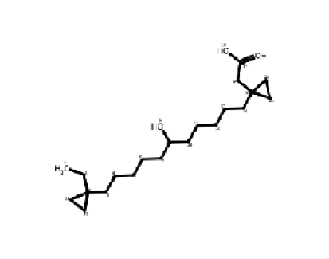 CCC1(CCCCCC(O)CCCCCC2(CC(=O)O)CC2)CC1